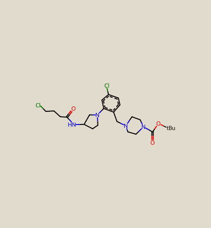 CC(C)(C)OC(=O)N1CCN(Cc2ccc(Cl)cc2N2CCC(NC(=O)CCCCl)C2)CC1